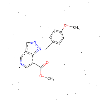 COC(=O)c1cncc2cnn(Cc3ccc(OC)cc3)c12